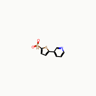 O=[SH](=O)c1ccc(-c2cccnc2)s1